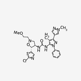 COCCN1C[C@@H](NC(=O)Nc2c(C)c(-c3cnn(C)c3)nn2-c2ccccc2)[C@H](c2cnc(Cl)s2)O1